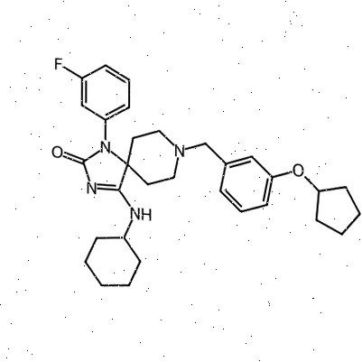 O=C1N=C(NC2CCCCC2)C2(CCN(Cc3cccc(OC4CCCC4)c3)CC2)N1c1cccc(F)c1